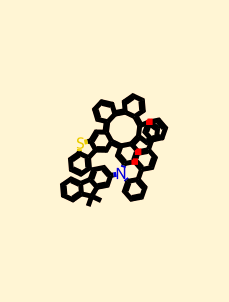 CC1(C)c2ccccc2-c2ccc(N(c3ccc4c5ccccc5c5ccccc5c5ccccc5c5cc6sc7ccccc7c6cc5c4c3)c3ccccc3-c3ccc(-c4ccccc4)cc3)cc21